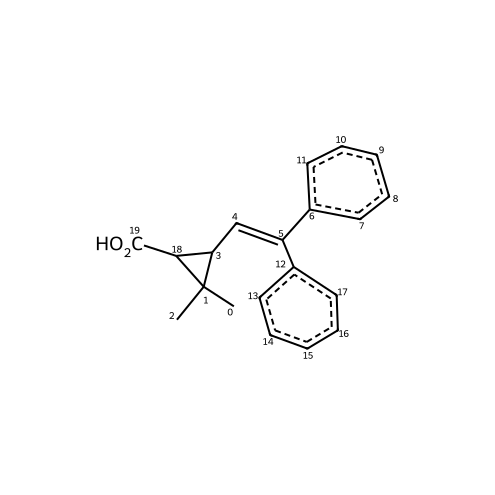 CC1(C)C(C=C(c2ccccc2)c2ccccc2)C1C(=O)O